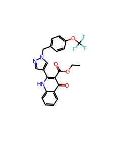 CCOC(=O)c1c(-c2cnn(Cc3ccc(OC(F)(F)F)cc3)c2)[nH]c2ccccc2c1=O